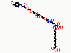 O=Cc1ccc(CNC(=O)COCCOCCNC(=O)COCCOCCNC(=O)CC[C@H](NC(=O)CCCCCCCCCCC(=O)O)C(=O)O)cc1